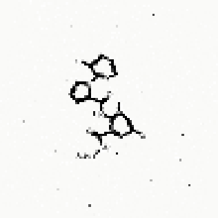 CC(=O)NNC(=O)c1cc(Cl)cc(C)c1NC(=O)c1cccn1-c1ncccc1Cl